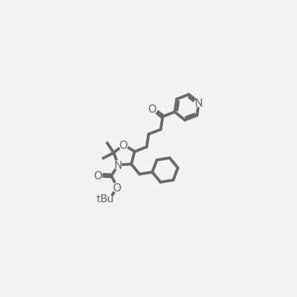 CC(C)(C)OC(=O)N1C(CC2CCCCC2)C(CCCC(=O)c2ccncc2)OC1(C)C